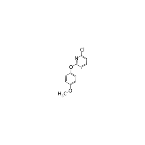 COc1ccc(Oc2[c]ccc(Cl)n2)cc1